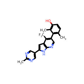 Cc1ncc(-c2cc3c(C(F)(F)F)c(-c4c(C)ccc(O)c4C)cnc3[nH]2)cn1